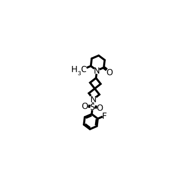 CC1CCCC(=O)N1C1CC2(C1)CN(S(=O)(=O)c1ccccc1F)C2